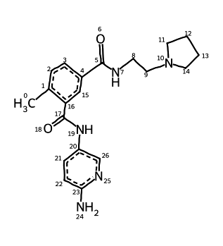 Cc1ccc(C(=O)NCCN2CCCC2)cc1C(=O)Nc1ccc(N)nc1